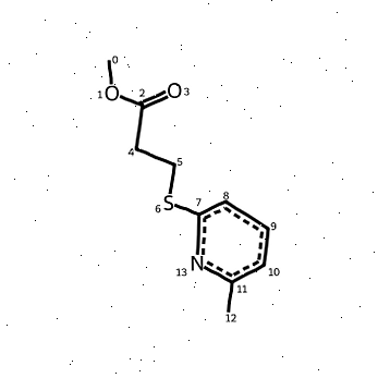 COC(=O)CCSc1cccc(C)n1